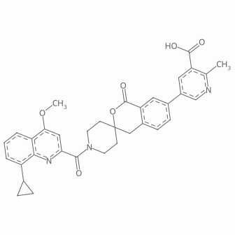 COc1cc(C(=O)N2CCC3(CC2)Cc2ccc(-c4cnc(C)c(C(=O)O)c4)cc2C(=O)O3)nc2c(C3CC3)cccc12